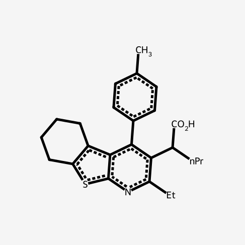 CCCC(C(=O)O)c1c(CC)nc2sc3c(c2c1-c1ccc(C)cc1)CCCC3